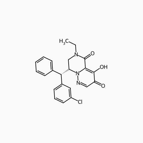 CCN1CC([C@@H](c2ccccc2)c2cccc(Cl)c2)n2ncc(=O)c(O)c2C1=O